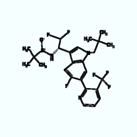 CC(C)(C)Cn1cc([C@H](N[S+]([O-])C(C)(C)C)C(F)F)c2cc(F)c(-c3ncccc3C(F)(F)F)cc21